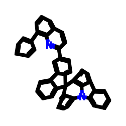 c1ccc(-c2cccc3ccc(-c4ccc5c(c4)-c4ccccc4C54c5ccccc5-n5c6ccccc6c6cccc4c65)nc23)cc1